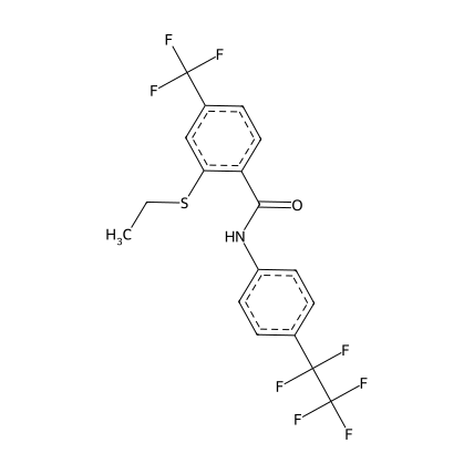 CCSc1cc(C(F)(F)F)ccc1C(=O)Nc1ccc(C(F)(F)C(F)(F)F)cc1